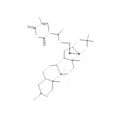 CC1(C)OC2CC3C4CCC5=CC(=O)C=CC5(C)C4(F)[C@@H](O)CC3(C)C2(C(=O)COC(=O)n2cc(F)c(=O)[nH]c2=O)O1